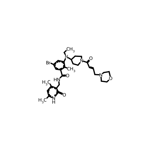 CCN(c1cc(Br)cc(C(=O)NCc2c(C)cc(C)[nH]c2=O)c1C)C1CCN(C(=O)C=CCN2CCOCC2)CC1